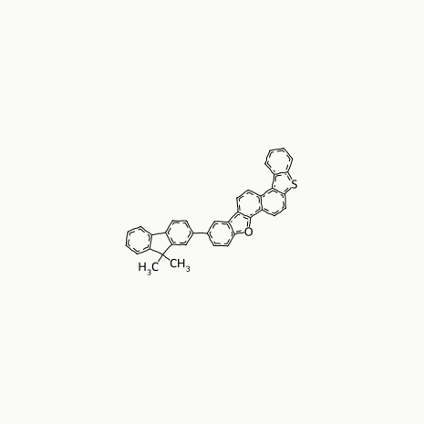 CC1(C)c2ccccc2-c2ccc(-c3ccc4oc5c(ccc6c5ccc5sc7ccccc7c56)c4c3)cc21